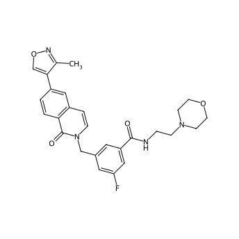 Cc1nocc1-c1ccc2c(=O)n(Cc3cc(F)cc(C(=O)NCCN4CCOCC4)c3)ccc2c1